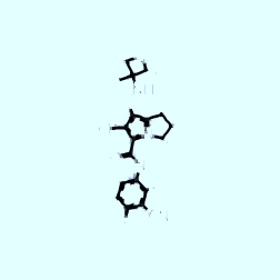 CC1(NSc2c(Cl)c(C(=O)Nc3ccc(F)c(C#N)c3)n3c2CCC3)COC1